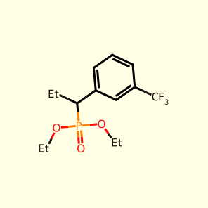 CCOP(=O)(OCC)C(CC)c1cccc(C(F)(F)F)c1